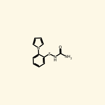 NC(=O)NSc1ccccc1-n1cccc1